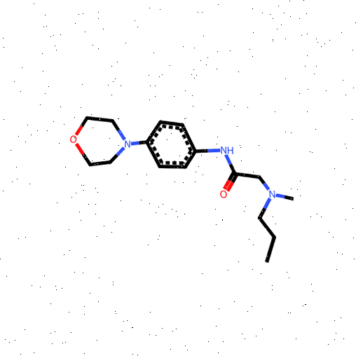 CCCN(C)CC(=O)Nc1ccc(N2CCOCC2)cc1